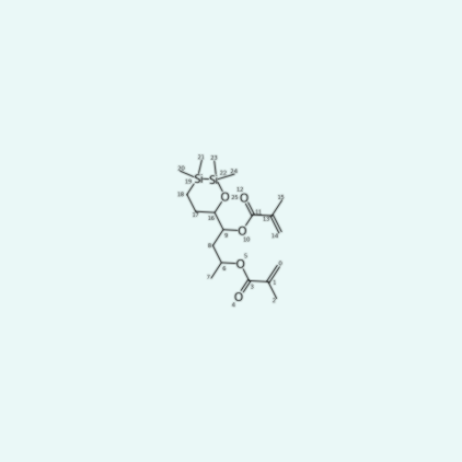 C=C(C)C(=O)OC(C)CC(OC(=O)C(=C)C)C1CC[Si](C)(C)[Si](C)(C)O1